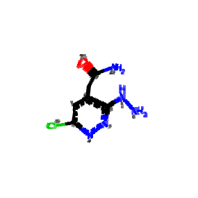 NNc1nnc(Cl)cc1C(N)=O